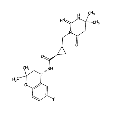 CC1(C)CC(=O)N(CC2C[C@H]2C(=O)N[C@H]2CC(C)(C)Oc3ccc(F)cc32)C(=N)N1